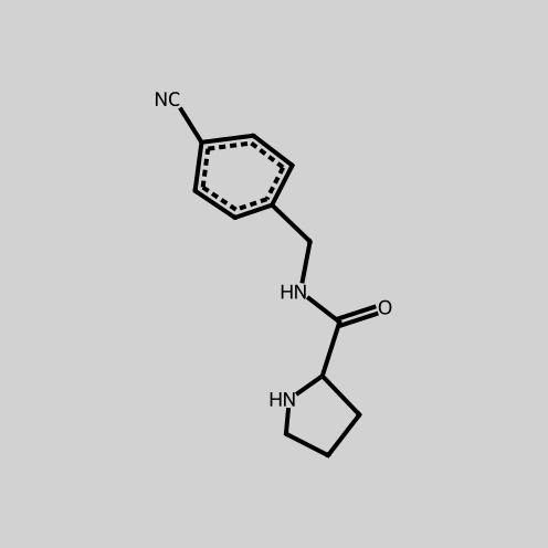 N#Cc1ccc(CNC(=O)C2CCCN2)cc1